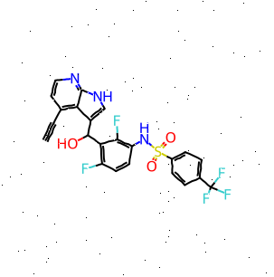 C#Cc1ccnc2[nH]cc(C(O)c3c(F)ccc(NS(=O)(=O)c4ccc(C(F)(F)F)cc4)c3F)c12